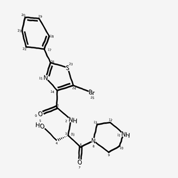 O=C(N[C@@H](CO)C(=O)N1CCNCC1)c1nc(-c2ccccc2)sc1Br